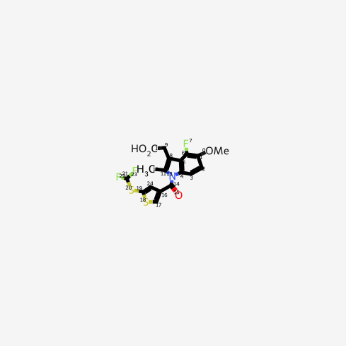 COc1ccc2c(c1F)c(CC(=O)O)c(C)n2C(=O)c1csc(SC(F)F)c1